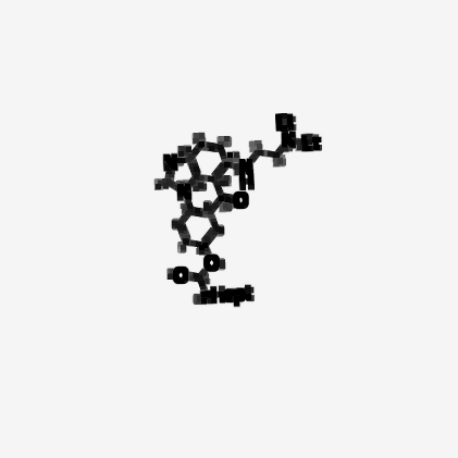 CCCCCCCC(=O)Oc1ccc2c(c1)c(=O)c1c(NCCN(CC)CC)ccc3ncn2c31